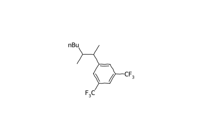 CCCCC(C)C(C)c1cc(C(F)(F)F)cc(C(F)(F)F)c1